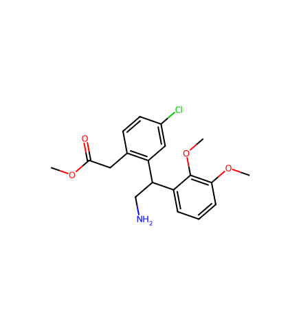 COC(=O)Cc1ccc(Cl)cc1C(CN)c1cccc(OC)c1OC